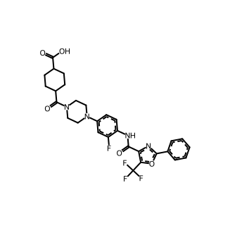 O=C(Nc1ccc(N2CCN(C(=O)C3CCC(C(=O)O)CC3)CC2)cc1F)c1nc(-c2ccccc2)oc1C(F)(F)F